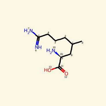 CC(CCCC(=N)N)C[C@H](N)C(=O)O